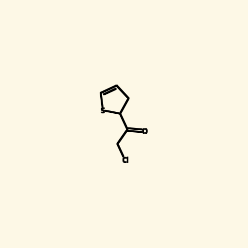 O=C(CCl)C1CC=CS1